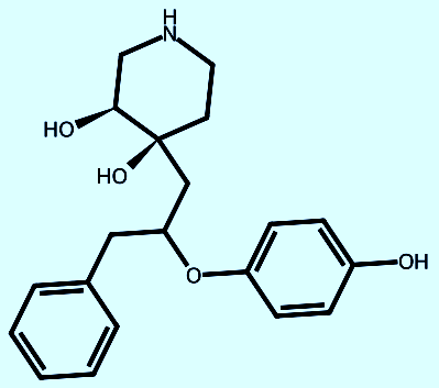 Oc1ccc(OC(Cc2ccccc2)C[C@@]2(O)CCNC[C@@H]2O)cc1